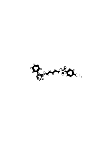 Cc1ccc(S(=O)(=O)OCCCCCOc2nnnn2-c2ccccc2)cc1